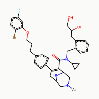 CC(=O)N1CC2CC(c3ccc(CCCOc4cc(F)ccc4Br)cc3)=C(C(=O)N(Cc3ccccc3CC(O)CO)C3CC3)C(C1)N2